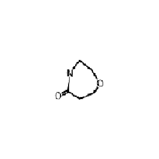 O=C1CCOCC[N]1